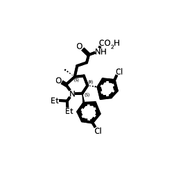 CCC(CC)N1C(=O)[C@@](C)(CCC(=O)NC(=O)O)C[C@H](c2cccc(Cl)c2)[C@H]1c1ccc(Cl)cc1